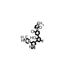 C[C@@H]1CN(c2cc(-c3cc(F)cc(-c4ccc(-n5ccn(C)c5=O)c(Cl)c4)c3O)cn3ncnc23)CCN1